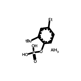 CCc1ccc(OP(=O)(O)O)c(C(C)(C)C)c1.[AlH3]